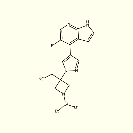 CC[S+]([O-])N1CC(CC#N)(n2cc(-c3c(F)cnc4[nH]ccc34)cn2)C1